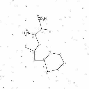 CC(CC1CCCCC1)CC(N)C(C)C(=O)O